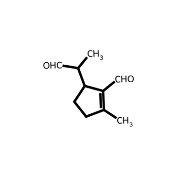 CC1=C(C=O)C(C(C)C=O)CC1